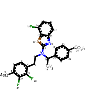 COc1ccc(CCN(c2nc3cccc(F)c3s2)C(C)c2ccc(C(=O)O)cc2)c(F)c1F